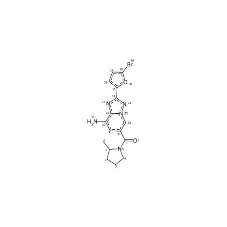 CC1CCCN1C(=O)c1cc(N)c2nc(-c3ccc(Br)o3)nn2c1